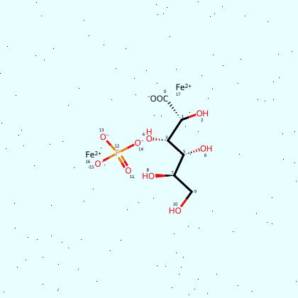 O=C([O-])[C@H](O)[C@@H](O)[C@H](O)[C@H](O)CO.O=P([O-])([O-])[O-].[Fe+2].[Fe+2]